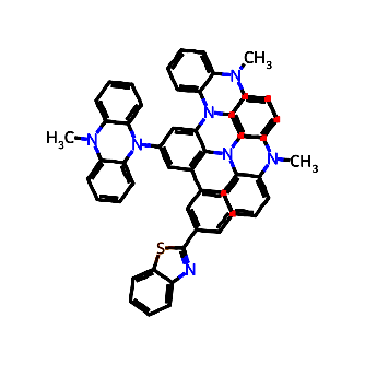 CN1c2ccccc2N(c2cc(-c3cccc(-c4nc5ccccc5s4)c3)c(N3c4ccccc4N(C)c4ccccc43)c(N3c4ccccc4N(C)c4ccccc43)c2)c2ccccc21